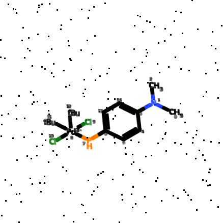 CN(C)c1ccc([PH][Pd-3]([Cl])([Cl])([C](C)(C)C)[C](C)(C)C)cc1